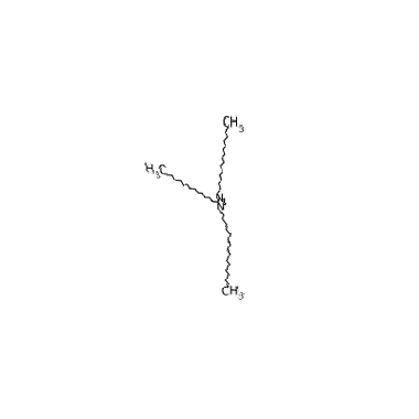 CCCCCCCCCCCCCCCCCN1C=CN(CCCCCCCCCCCCCCCCC)C1CCCCCCCCCCCCCC